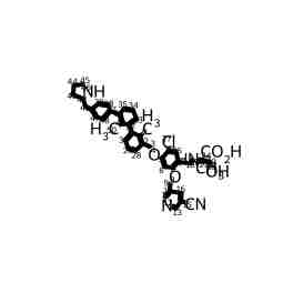 Cc1c(COc2cc(OCc3cncc(C#N)c3)c(CN[C@@](C)(CO)C(=O)O)cc2Cl)cccc1-c1cccc(-c2ccc(CC3CCCN3)cc2)c1C